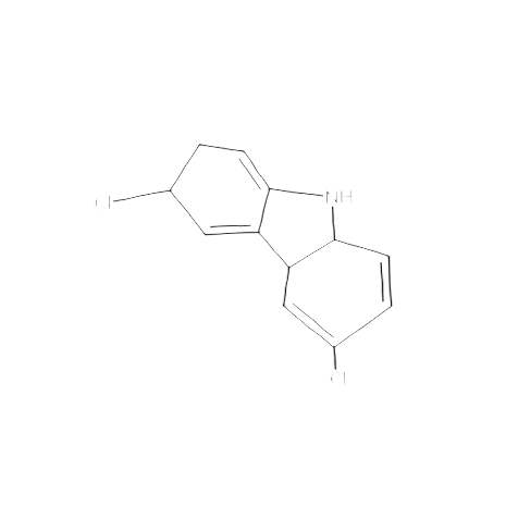 ClC1=CC2C3=CC(Cl)CC=C3NC2C=C1